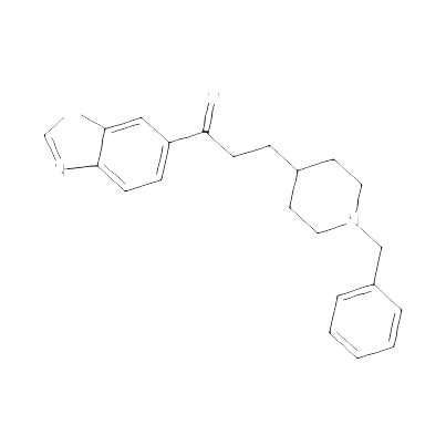 O=C(CCC1CCN(Cc2ccccc2)CC1)c1ccc2ncoc2c1